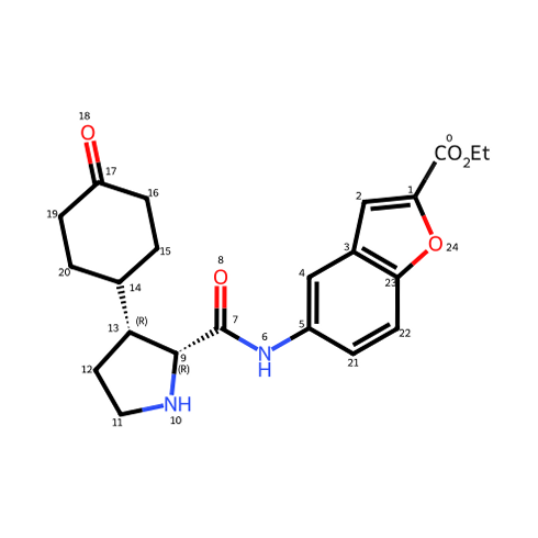 CCOC(=O)c1cc2cc(NC(=O)[C@@H]3NCC[C@@H]3C3CCC(=O)CC3)ccc2o1